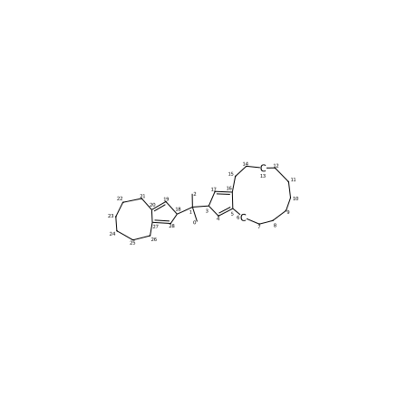 CC(C)(C1C=C2CCCCCCCCCCC2=C1)C1C=C2CCCCCCC2=C1